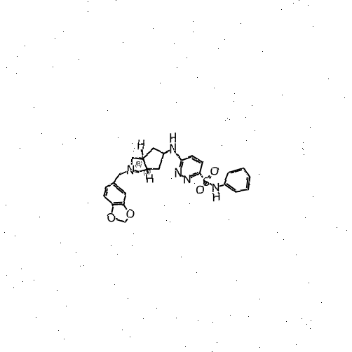 O=S(=O)(Nc1ccccc1)c1ccc(NC2C[C@@H]3CN(Cc4ccc5c(c4)OCO5)C[C@@H]3C2)nn1